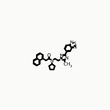 Cc1nc(-c2ccc3nsnc3c2)nn1CCN(C(=O)Cc1cccc2ccccc12)C1CCCC1